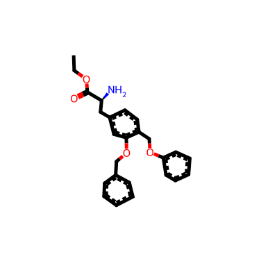 CCOC(=O)[C@@H](N)Cc1ccc(COc2ccccc2)c(OCc2ccccc2)c1